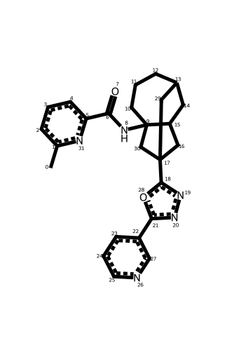 Cc1cccc(C(=O)NC23CCCC4CC2CC(c2nnc(-c5cccnc5)o2)(C4)C3)n1